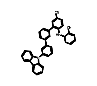 N#CC1=CC=CCC1Nc1ccc(C#N)cc1-c1cccc(-c2cccc(-n3c4ccccc4c4ccccc43)c2)c1